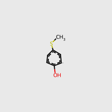 CSc1c[c]c(O)cc1